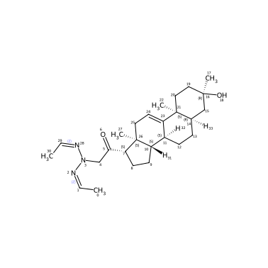 C/C=N\N(CC(=O)[C@H]1CC[C@H]2[C@@H]3CC[C@@H]4C[C@](C)(O)CC[C@]4(C)C3=CC[C@]12C)/N=C\C